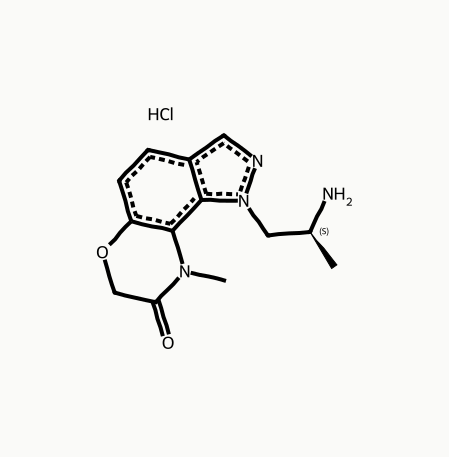 C[C@H](N)Cn1ncc2ccc3c(c21)N(C)C(=O)CO3.Cl